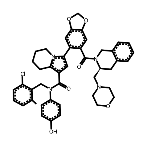 Cc1cccc(Cl)c1CN(C(=O)c1cc(-c2cc3c(cc2C(=O)N2Cc4ccccc4C[C@H]2CN2CCOCC2)OCO3)n2c1CCCC2)c1ccc(O)cc1